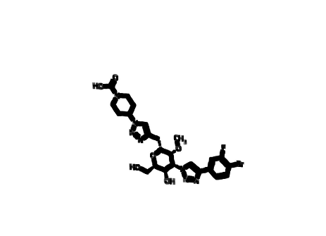 CO[C@@H]1[C@@H](n2cc(-c3ccc(Br)c(F)c3)nn2)[C@@H](O)[C@@H](CO)O[C@@H]1Cc1cn(C2CCN(C(=O)O)CC2)nn1